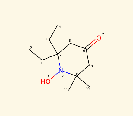 CCC1(CC)CC(=O)CC(C)(C)N1O